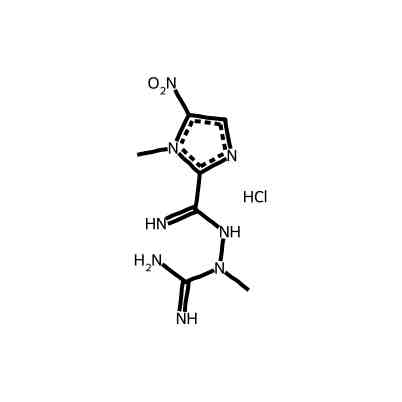 CN(NC(=N)c1ncc([N+](=O)[O-])n1C)C(=N)N.Cl